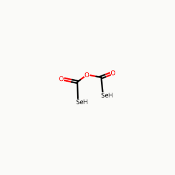 O=C([SeH])OC(=O)[SeH]